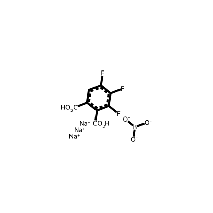 O=C(O)c1cc(F)c(F)c(F)c1C(=O)O.[Na+].[Na+].[Na+].[O-]B([O-])[O-]